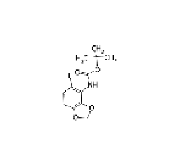 CC(C)(C)OC(=O)Nc1c(F)ccc2c1OCO2